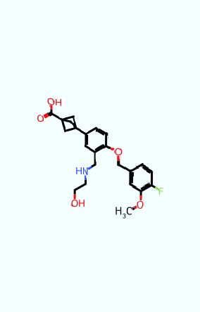 COc1cc(COc2ccc(C34CC(C(=O)O)(C3)C4)cc2CNCCO)ccc1F